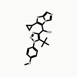 COc1ccc(-n2nnc(C(O)c3c(C4CC4)sc4cncn34)c2C(C)(C)C)cc1